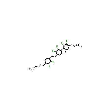 CCCCCc1ccc(CCc2cc3c(c(F)c2F)-c2c(cc(CCC)c(F)c2F)C3)c(F)c1F